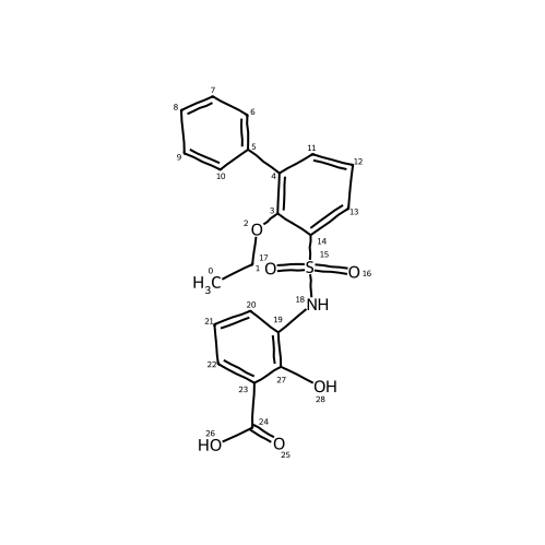 CCOc1c(-c2ccccc2)cccc1S(=O)(=O)Nc1cccc(C(=O)O)c1O